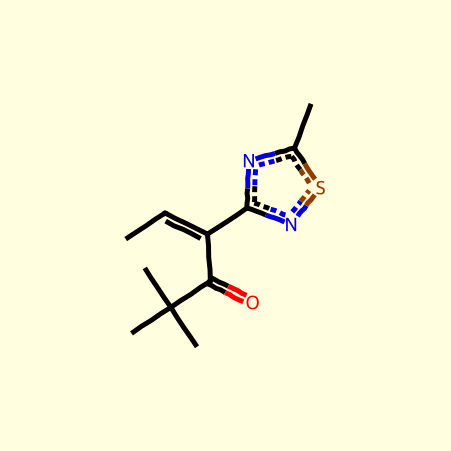 C/C=C(\C(=O)C(C)(C)C)c1nsc(C)n1